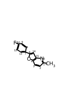 Cc1ccc2oc(-c3ccc(F)cc3)cc2n1